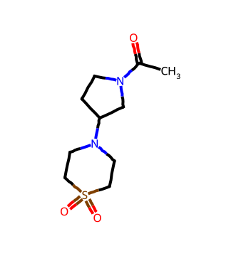 CC(=O)N1CCC(N2CCS(=O)(=O)CC2)C1